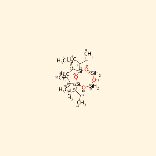 CCC(C)[Si]1(C(C)CC)O[SiH2]O[SiH2]O[Si](C(C)CC)(C(C)CC)O1